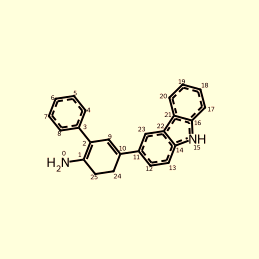 NC1=C(c2ccccc2)C=C(c2ccc3[nH]c4ccccc4c3c2)CC1